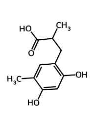 Cc1cc(CC(C)C(=O)O)c(O)cc1O